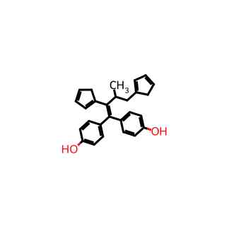 CC(CC1=CC=CC1)C(C1=CC=CC1)=C(c1ccc(O)cc1)c1ccc(O)cc1